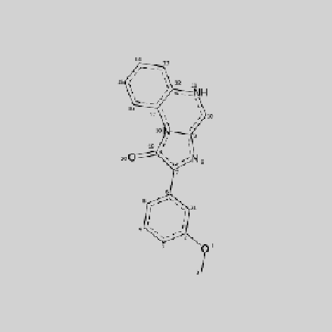 COc1cccc(-c2nc3c[nH]c4ccccc4n-3c2=O)c1